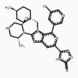 C[C@@H]1CNC[C@@H](C)N1c1nc2cc(-c3noc(=O)[nH]3)nc(-c3cncc(Cl)c3)c2n1C[C@H]1CC[C@H](C)CC1